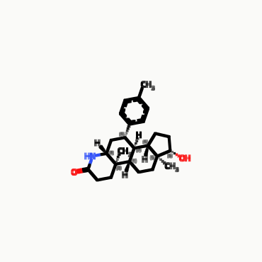 Cc1ccc([C@H]2C[C@H]3NC(=O)CC[C@]3(C)[C@H]3CC[C@]4(C)[C@@H](O)CC[C@H]4[C@H]23)cc1